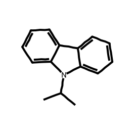 CC(C)n1c2ccccc2c2ccccc21